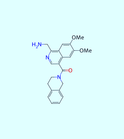 COc1cc2c(C(=O)N3CCc4ccccc4C3)cnc(CN)c2cc1OC